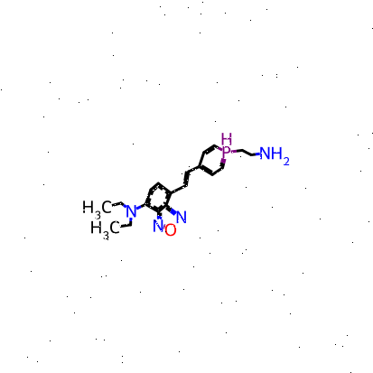 CCN(CC)c1ccc(/C=C/C2=CC=[PH](CCN)C=C2)c2nonc12